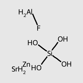 O[Si](O)(O)O.[F][AlH2].[SrH2].[Zn]